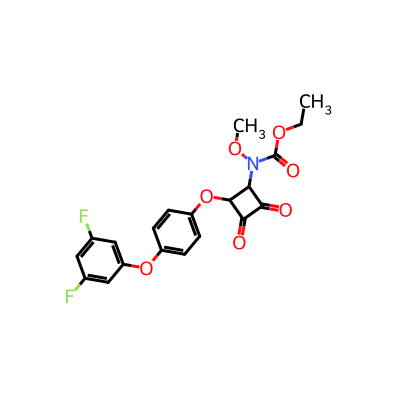 CCOC(=O)N(OC)C1C(=O)C(=O)C1Oc1ccc(Oc2cc(F)cc(F)c2)cc1